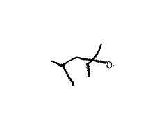 CC(C)CC(C)(C)[O]